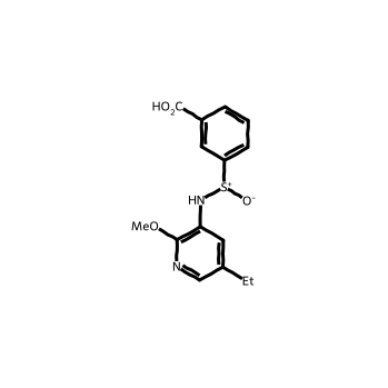 CCc1cnc(OC)c(N[S+]([O-])c2cccc(C(=O)O)c2)c1